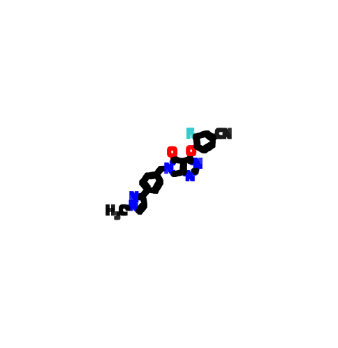 Cn1ccc(-c2ccc(CN3Cc4ncnc(Oc5ccc(C#N)cc5F)c4C3=O)cc2)n1